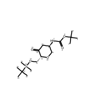 CC(C)(C)OC(=O)N[C@H]1CO[C@H](CO[Si](C)(C)C(C)(C)C)C(=O)C1